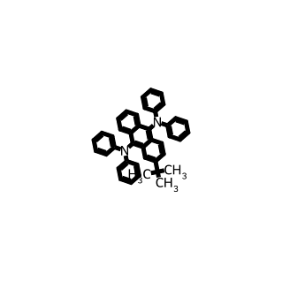 CC(C)(C)c1ccc2c(N(c3ccccc3)c3ccccc3)c3ccccc3c(N(c3ccccc3)c3ccccc3)c2c1